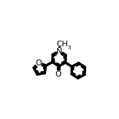 Cn1cc(-c2ccccc2)c(=O)c(-c2ccco2)c1